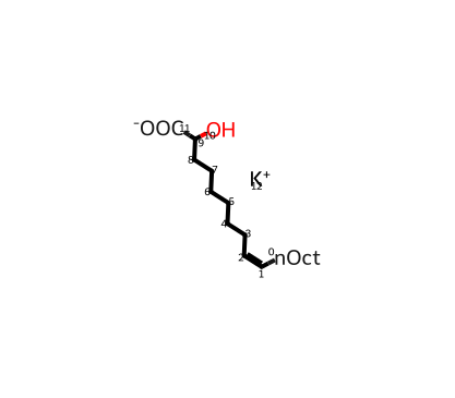 CCCCCCCC/C=C\CCCCCCC(O)C(=O)[O-].[K+]